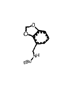 CC(C)(C)NCc1cccc2c1OCO2